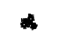 O=C(O[N+]12CCC(CC1)CC2)C(O)(c1ccccc1)c1ccccc1.[Br-]